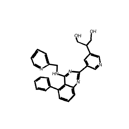 OCC(CO)c1cncc(-c2nc(NCc3ccccn3)c3c(-c4ccccc4)cccc3n2)c1